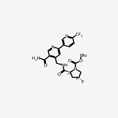 CC(C)(C)OC(=O)N1C[C@H](F)C[C@H]1C(=O)NCc1cc(-c2ccc(C(F)(F)F)nc2)ncc1C(N)=O